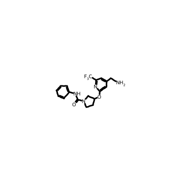 NCc1cc(OC2CCN(C(=O)Nc3ccccc3)C2)nc(C(F)(F)F)c1